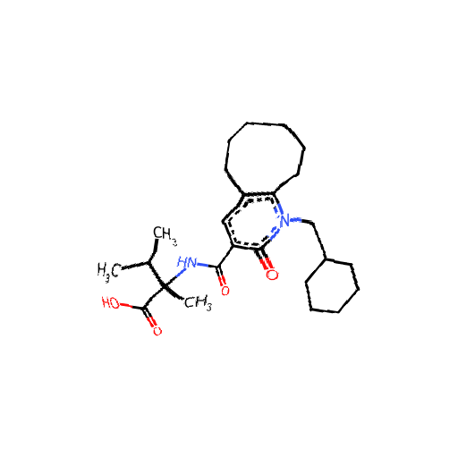 CC(C)C(C)(NC(=O)c1cc2c(n(CC3CCCCC3)c1=O)CCCCCC2)C(=O)O